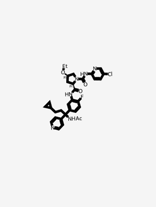 CCO[C@@H]1C[C@H](C(=O)Nc2cc(C(CCC3CC3)(NC(C)=O)c3ccncc3)ccc2F)N(C(=O)Nc2ccc(Cl)cn2)C1